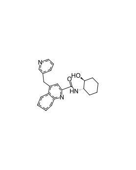 O=C(N[C@H]1CCCC[C@@H]1O)c1cc(Cc2cccnc2)c2ccccc2n1